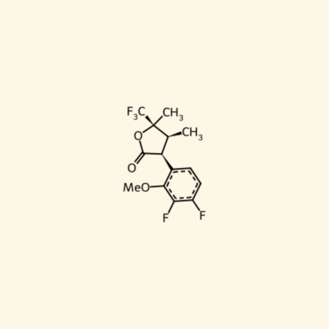 COc1c([C@H]2C(=O)O[C@@](C)(C(F)(F)F)[C@H]2C)ccc(F)c1F